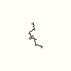 CC(C)=CCCC(C)=CCCC(C)=CCS(=O)(=O)CC=C(C)CCC=C(C)CCC=C(C)C